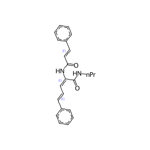 CCCNC(=O)/C(=C\C=C\c1ccccc1)NC(=O)/C=C/c1ccccc1